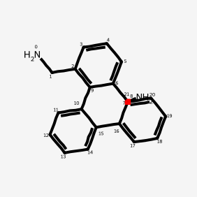 NCc1cccc(CN)c1-c1ccccc1-c1ccccc1